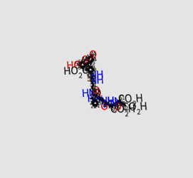 O=C(O)CC[C@H](NC(=O)N[C@@H](CCC(=O)NCCNC(=O)[C@H](Cc1ccccc1)NC(=O)CCCNC(=S)Nc1ccc(-c2c3ccc(=O)cc-3oc3cc(O)ccc23)c(C(=O)O)c1)C(=O)O)C(=O)O